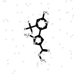 COC(=O)c1cc(-c2cnc(C)cc2C(F)(F)F)n(C)n1